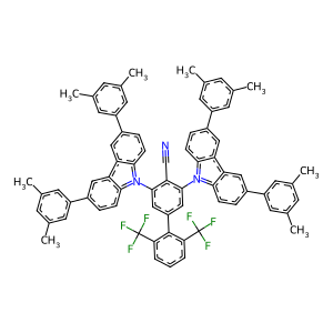 Cc1cc(C)cc(-c2ccc3c(c2)c2cc(-c4cc(C)cc(C)c4)ccc2n3-c2cc(-c3c(C(F)(F)F)cccc3C(F)(F)F)cc(-n3c4ccc(-c5cc(C)cc(C)c5)cc4c4cc(-c5cc(C)cc(C)c5)ccc43)c2C#N)c1